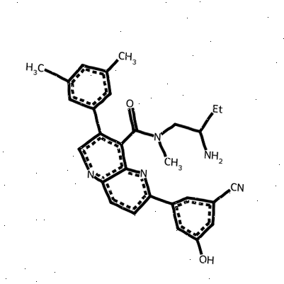 CCC(N)CN(C)C(=O)c1c(-c2cc(C)cc(C)c2)cnc2ccc(-c3cc(O)cc(C#N)c3)nc12